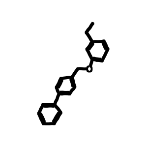 CCc1cccc(OCc2ccc(-c3ccccc3)cc2)c1